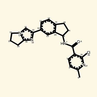 Cc1ccc(C(=O)NC2CCc3ccc(-c4cn5c(n4)CCC5)cc32)c(Cl)n1